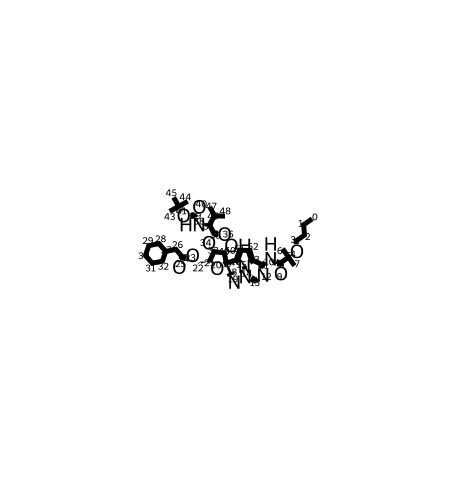 CCCCOC(C)(C)C(=O)Nc1ncnn2c([C@]3(C#N)O[C@H](COC(=O)CC4CCCCC4)[C@@H](OC(=O)[C@@H](NC(=O)OC(C)(C)C)C(C)C)[C@H]3O)ccc12